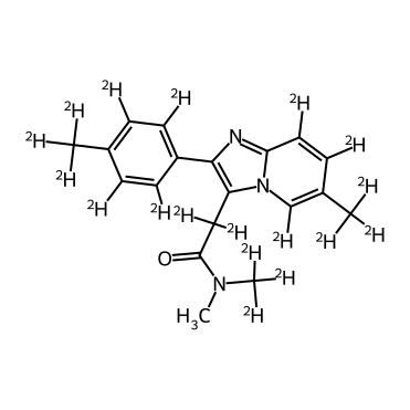 [2H]c1c([2H])c(C([2H])([2H])[2H])c([2H])c([2H])c1-c1nc2c([2H])c([2H])c(C([2H])([2H])[2H])c([2H])n2c1C([2H])([2H])C(=O)N(C)C([2H])([2H])[2H]